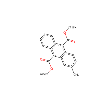 CCCCCCOC(=O)c1c2ccccc2c(C(=O)OCCCCCC)c2cc(C)ccc12